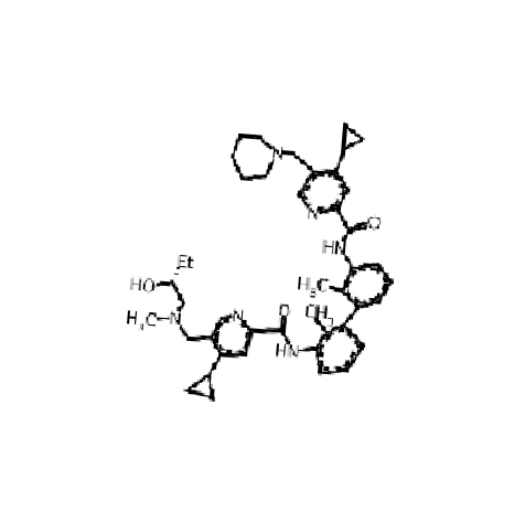 CC[C@@H](O)CN(C)Cc1cnc(C(=O)Nc2cccc(-c3cccc(NC(=O)c4cc(C5CC5)c(CN5CCCCC5)cn4)c3C)c2C)cc1C1CC1